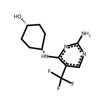 Nc1ncc(C(F)(F)F)c(N[C@H]2CC[C@@H](O)CC2)n1